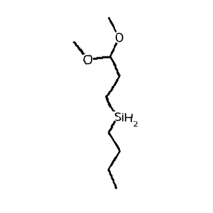 CCCC[SiH2]CCC(OC)OC